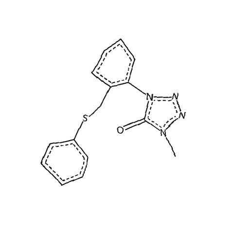 Cn1nnn(-c2ccccc2CSc2ccccc2)c1=O